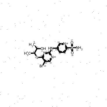 CC(O)C(C)Sc1nc(Nc2ccc(S(N)(=O)=O)nc2)ncc1Br